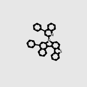 c1ccc(-c2cc(-n3c4cc(-c5ccccc5)c5ccccc5c4c4c5c(ccc43)sc3ccccc35)nc3ccccc23)cc1